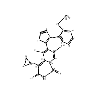 Cc1c(-c2sccc2-c2cccnc2CN)c(F)cn2c(=O)[nH]c(=O)c(C3CC3)c12